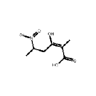 CC(C(=O)O)=C(O)CC(C)[N+](=O)[O-]